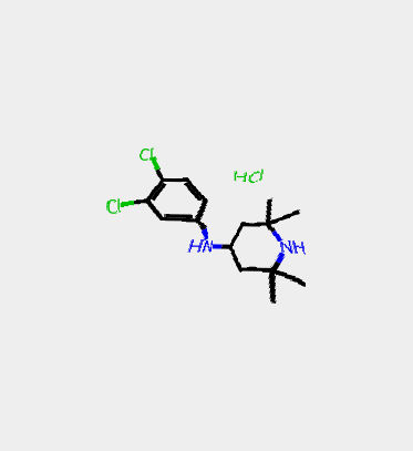 CC1(C)CC(Nc2ccc(Cl)c(Cl)c2)CC(C)(C)N1.Cl